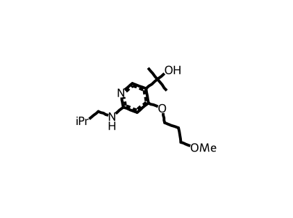 COCCCOc1cc(NCC(C)C)ncc1C(C)(C)O